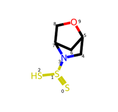 S=S(S)N1CC2CC1CO2